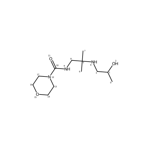 CC(O)CNC(C)(C)CNC(=O)N1CCOCC1